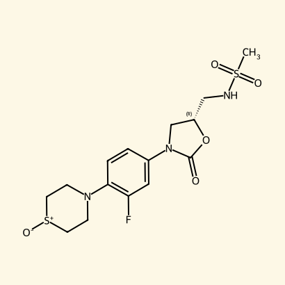 CS(=O)(=O)NC[C@H]1CN(c2ccc(N3CC[S+]([O-])CC3)c(F)c2)C(=O)O1